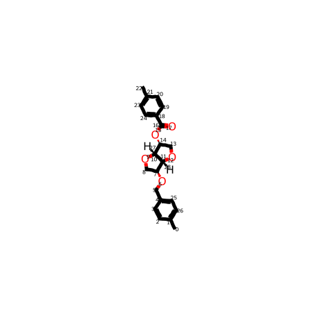 Cc1ccc(CO[C@H]2CO[C@H]3[C@@H]2OC[C@H]3OC(=O)c2ccc(C)cc2)cc1